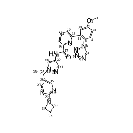 COc1ccc(-n2cnnn2)c(-c2cncc(C(=O)Nc3cnn([C@@H](C)c4cnc(N5CCC5)nc4)c3)n2)c1